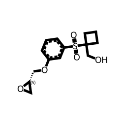 O=S(=O)(c1cccc(OC[C@@H]2CO2)c1)C1(CO)CCC1